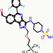 C[Si](C)(C)CCOCn1nc2c(nc(-c3c(F)cccc3F)c3cc(C=O)ccc32)c1NC1CCN(S(N)(=O)=O)CC1